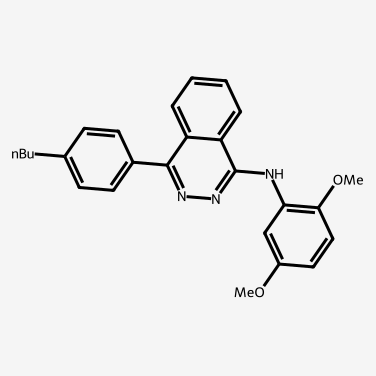 CCCCc1ccc(-c2nnc(Nc3cc(OC)ccc3OC)c3ccccc23)cc1